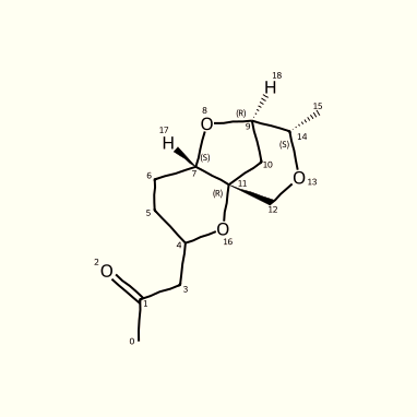 CC(=O)CC1CC[C@@H]2O[C@@H]3C[C@]2(CO[C@H]3C)O1